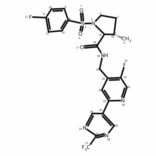 C[C@H]1CCN(S(=O)(=O)c2ccc(F)cc2)C1C(=O)NCc1cc(-c2cnc(C(F)(F)F)nc2)ncc1F